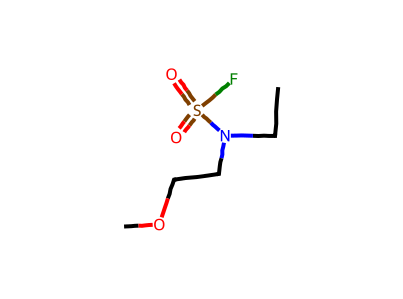 CCN(CCOC)S(=O)(=O)F